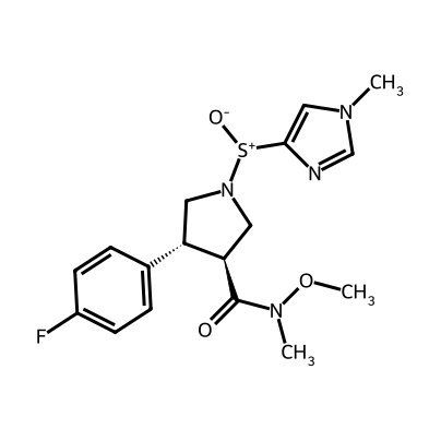 CON(C)C(=O)[C@@H]1CN([S+]([O-])c2cn(C)cn2)C[C@H]1c1ccc(F)cc1